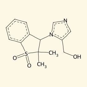 CC1(C)C(n2cncc2CO)c2ccccc2S1(=O)=O